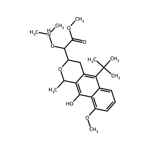 COC(=O)C(O[SiH](C)C)C1Cc2c(c(O)c3c(OC)cccc3c2C(C)(C)C)C(C)O1